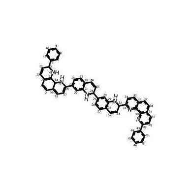 C1=CC2=C(NC(c3ccccc3)C=C2)C2NC(c3ccc4c(c3)NC(c3ccc5c(c3)NC(c3ccc6ccc7ccc(-c8ccccc8)nc7c6n3)C=C5)C=C4)=CC=C12